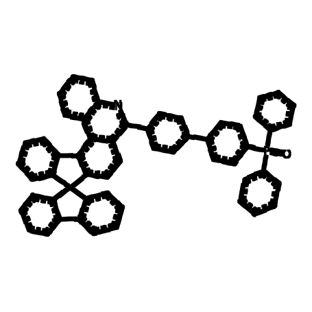 O=P(c1ccccc1)(c1ccccc1)c1ccc(-c2ccc(-c3nc4ccccc4c4c5c(ccc34)C3(c4ccccc4-c4ccccc43)c3ccccc3-5)cc2)cc1